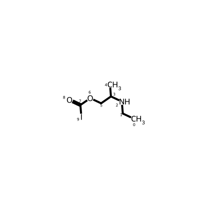 CCNC(C)COC(=O)I